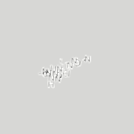 CCC1CN(c2ccc(C#N)cn2)CCC1Nc1nc(Nc2cc(C)n(C)n2)ncc1Cl